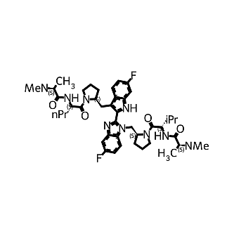 CCC[C@H](NC(=O)[C@H](C)NC)C(=O)N1CCC[C@H]1Cc1c(-c2nc3cc(F)ccc3n2C[C@@H]2CCCN2C(=O)[C@@H](NC(=O)[C@H](C)NC)C(C)C)[nH]c2cc(F)ccc12